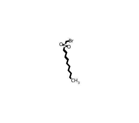 CCCCCCC=CC=CS(=O)(=O)CBr